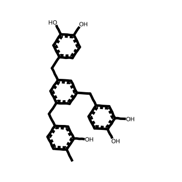 Cc1ccc(Cc2cc(Cc3ccc(O)c(O)c3)cc(Cc3ccc(O)c(O)c3)c2)cc1O